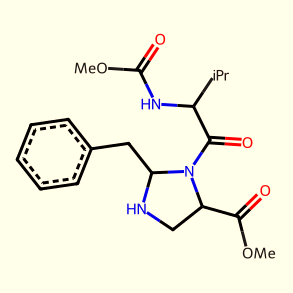 COC(=O)NC(C(=O)N1C(Cc2ccccc2)NCC1C(=O)OC)C(C)C